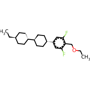 CCOCc1c(F)cc([C@H]2CC[C@H]([C@H]3CC[C@H](CC)CC3)CC2)cc1F